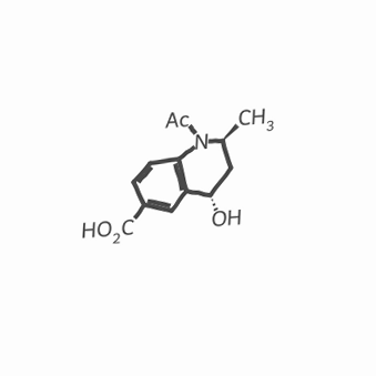 CC(=O)N1c2ccc(C(=O)O)cc2[C@@H](O)C[C@@H]1C